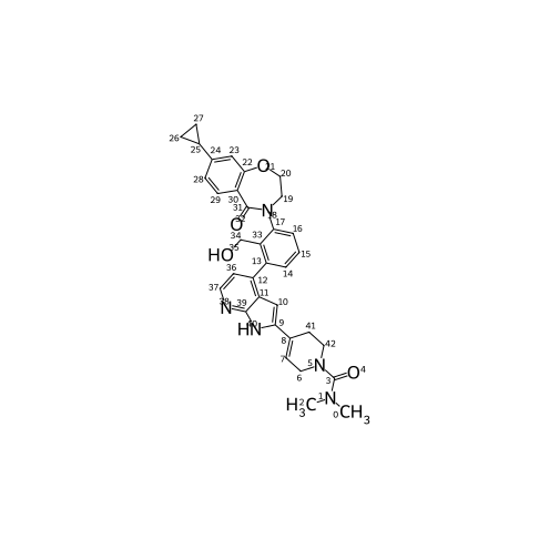 CN(C)C(=O)N1CC=C(c2cc3c(-c4cccc(N5CCOc6cc(C7CC7)ccc6C5=O)c4CO)ccnc3[nH]2)CC1